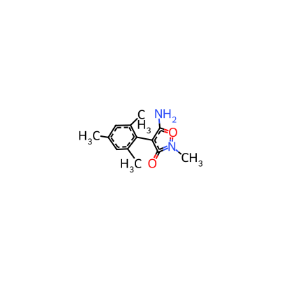 Cc1cc(C)c(-c2c(N)on(C)c2=O)c(C)c1